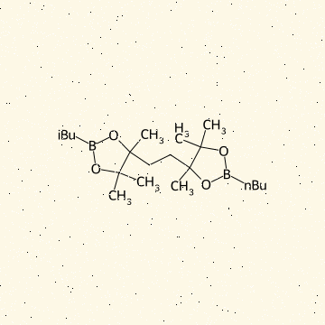 CCCCB1OC(C)(C)C(C)(CCC2(C)OB(C(C)CC)OC2(C)C)O1